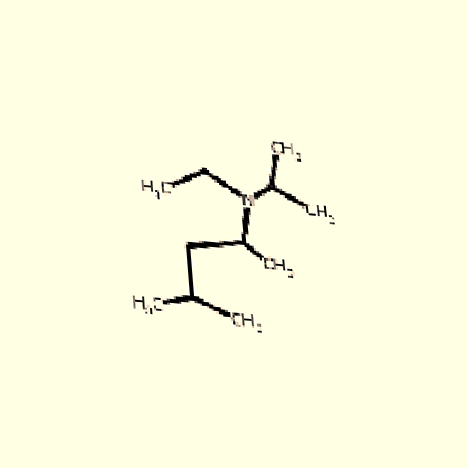 CCN(C(C)C)C(C)CC(C)C